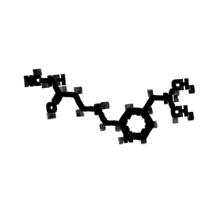 CN(C)Cc1ccnc(CSCCC(=O)NC#N)c1